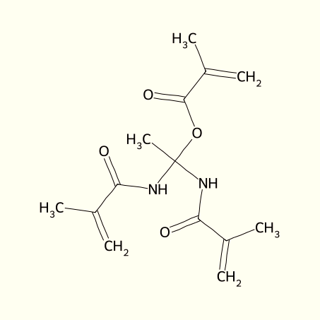 C=C(C)C(=O)NC(C)(NC(=O)C(=C)C)OC(=O)C(=C)C